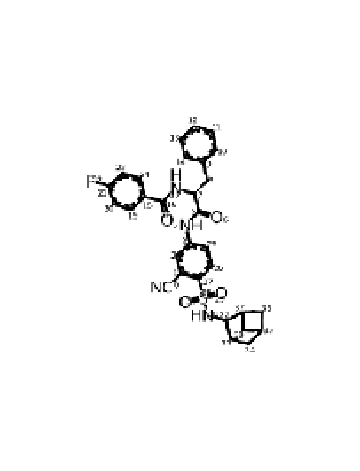 N#Cc1cc(NC(=O)[C@H](Cc2ccccc2)NC(=O)c2ccc(F)cc2)ccc1S(=O)(=O)NC1CCC2CC1C2